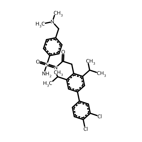 CC(C)c1cc(-c2ccc(Cl)c(Cl)c2)cc(C(C)C)c1CC(=O)N=S(N)(=O)c1ccc(CN(C)C)cc1